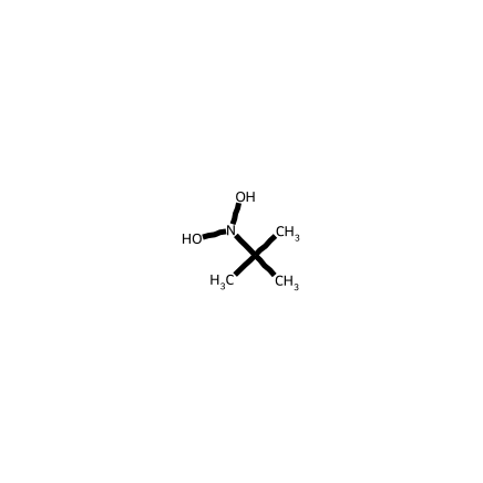 CC(C)(C)N(O)O